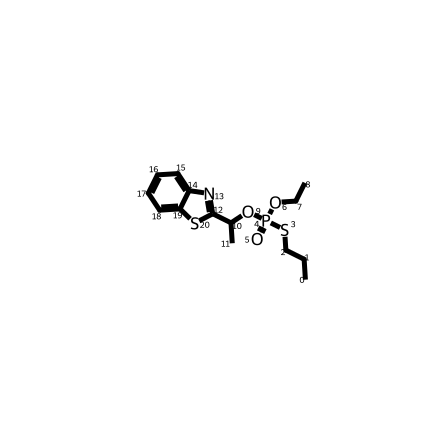 CCCSP(=O)(OCC)OC(C)c1nc2ccccc2s1